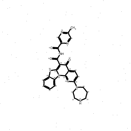 Cc1cnc(C(=O)NC(=O)c2c(=O)c3ccc(N4CCCNCC4)nc3n3c2sc2ccccc23)cn1